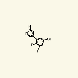 Oc1cc(F)c(F)c(-c2cn[nH]c2)c1